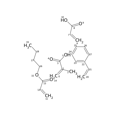 C=C(C)C(=O)O.C=CC(=O)O.C=CC(=O)OCCCC.C=Cc1ccccc1